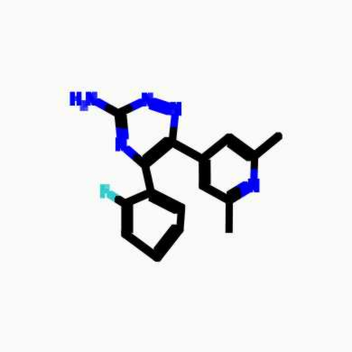 Cc1cc(-c2nnc(N)nc2-c2ccccc2F)cc(C)n1